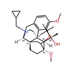 COc1ccc2c3c1O[C@@H]1[C@]34CCN(CC3CC3)[C@H](C2)[C@]42CC[C@@]1(OC)C([C@@](C)(O)C(C)(C)C)C2